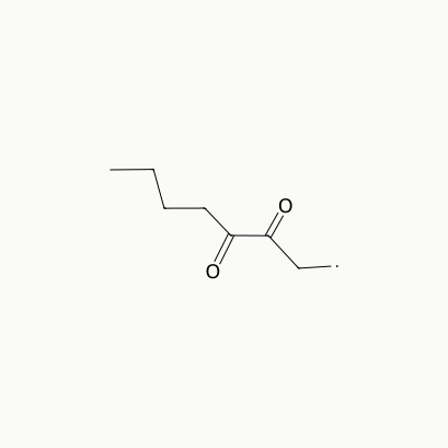 [CH2]CC(=O)C(=O)CCCC